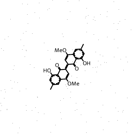 COC1=C/C(=C2/C=C(OC)c3cc(C)cc(O)c3C2=O)C(=O)c2c(O)cc(C)cc21